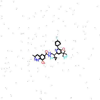 COc1cc(C(=O)NCC(c2cc3c(c(-c4ccc(F)cc4)n2)OCC3(CF)CF)C2(F)CC2)cc2cc(C)nnc12